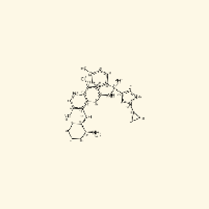 [2H][C@](Nc1cc(Cl)c2ncc(C#N)c(N[C@@H]3CCCC[C@@H]3N)c2c1)(c1ccc(F)cc1)c1cn(C2CC2)nn1